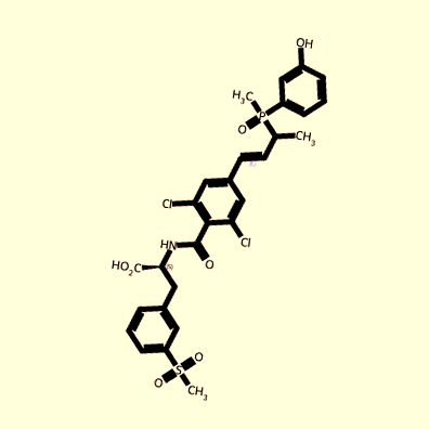 CC(/C=C/c1cc(Cl)c(C(=O)N[C@@H](Cc2cccc(S(C)(=O)=O)c2)C(=O)O)c(Cl)c1)P(C)(=O)c1cccc(O)c1